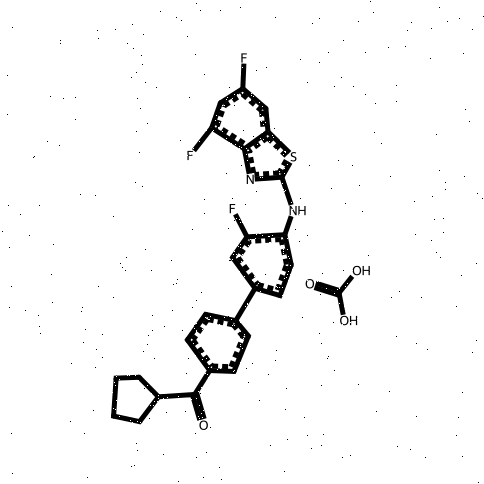 O=C(O)O.O=C(c1ccc(-c2ccc(Nc3nc4c(F)cc(F)cc4s3)c(F)c2)cc1)C1CCCC1